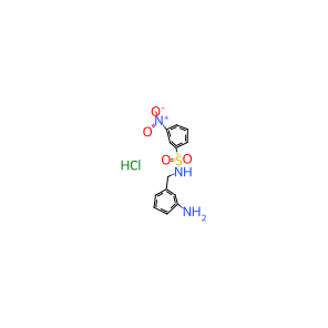 Cl.Nc1cccc(CNS(=O)(=O)c2cccc([N+](=O)[O-])c2)c1